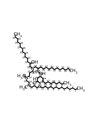 CCCCCCCCCCCCCCN(CCCN(C)CCN(C)CCCN(CC(O)CCCCCCCCCCCC)CC(CCCCCCCCCCCC)NO)CC(O)CCCCCCCCCCCC